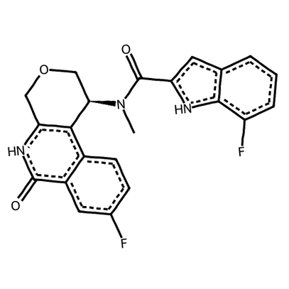 CN(C(=O)c1cc2cccc(F)c2[nH]1)[C@@H]1COCc2[nH]c(=O)c3cc(F)ccc3c21